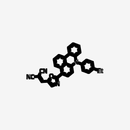 CCc1ccc(N2c3ccccc3-c3cccc4c(-c5ncc(C=C(C#N)C#N)o5)ccc2c34)cc1